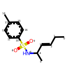 CC/C=C/C(C)NS(=O)(=O)c1ccc(C)cc1